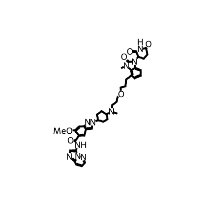 COc1cc2nn(C3CCC(N(C)CCCOCCCc4cccc5c4n(C)c(=O)n5C4CCC(=O)NC4=O)CC3)cc2cc1C(=O)Nc1cnc2cccnn12